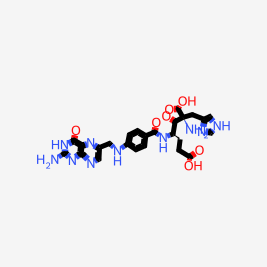 Nc1nc2ncc(CNc3ccc(C(=O)N[C@@H](CCC(=O)O)C(=O)[C@](N)(Cc4c[nH]cn4)C(=O)O)cc3)nc2c(=O)[nH]1